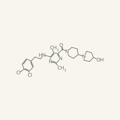 Cc1nc(NCCc2ccc(Cl)c(Cl)c2)c(C)c(C(=O)N2CCC(N3CCC(O)CC3)CC2)n1